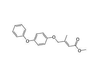 COC(=O)/C=C(\C)COc1ccc(Oc2ccccc2)cc1